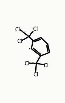 ClC(Cl)(Cl)c1[c]c(C(Cl)(Cl)Cl)ccc1